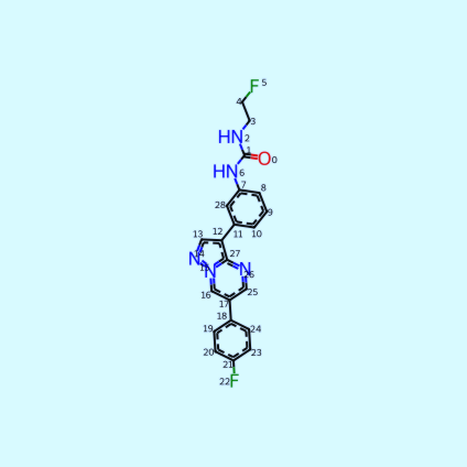 O=C(NCCF)Nc1cccc(-c2cnn3cc(-c4ccc(F)cc4)cnc23)c1